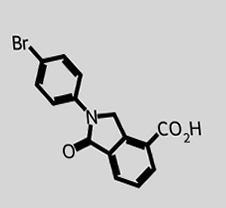 O=C(O)c1cccc2c1CN(c1ccc(Br)cc1)C2=O